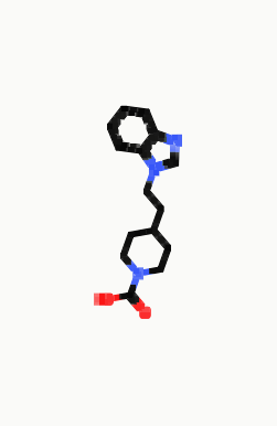 O=C(O)N1CCC(CCn2cnc3ccccc32)CC1